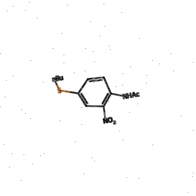 CCCCSc1ccc(NC(C)=O)c([N+](=O)[O-])c1